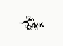 CC/C=C(/C(=O)O)c1ncnn1NC(=O)OC(C)(C)C